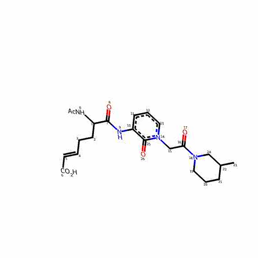 CC(=O)NC(CCC=CC(=O)O)C(=O)Nc1cccn(CC(=O)N2CCCC(C)C2)c1=O